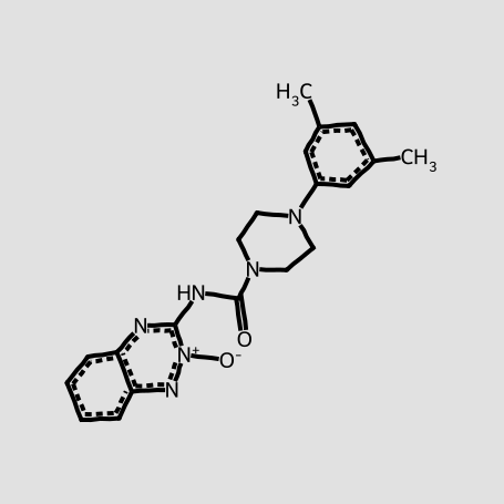 Cc1cc(C)cc(N2CCN(C(=O)Nc3nc4ccccc4n[n+]3[O-])CC2)c1